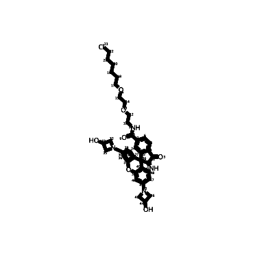 N=C1C(=O)c2ccc(C(=O)NCCOCCOCCCCCCCl)cc2C12c1ccc(N3CC(O)C3)cc1Oc1cc(N3CC(O)C3)ccc12